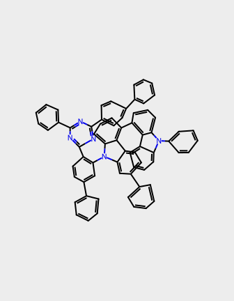 c1ccc(-c2ccc(-c3nc(-c4ccccc4)nc(-c4ccc(-c5ccccc5)cc4-n4c5cc(-c6ccccc6)ccc5c5c(-c6cccc7c6c6ccccc6n7-c6ccccc6)cccc54)n3)cc2)cc1